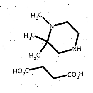 CN1CCNCC1(C)C.O=C(O)CCC(=O)O